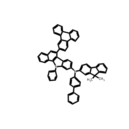 CC1(C)c2ccccc2-c2ccc(N(c3ccc(-c4ccccc4)cc3)c3ccc4c5c(-c6ccc7c8ccccc8c8ccccc8c7c6)cc6ccccc6c5n(-c5ccccc5)c4c3)cc21